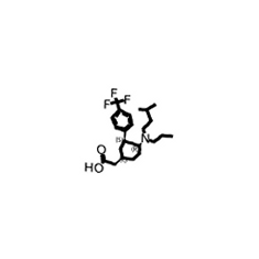 CCCN(CCC(C)C)[C@@H]1CC[C@@H](CC(=O)O)C[C@H]1c1ccc(C(F)(F)F)cc1